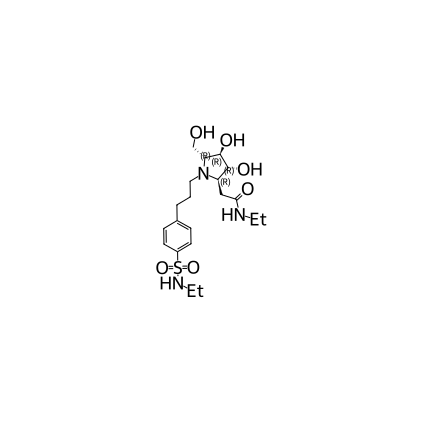 CCNC(=O)C[C@@H]1[C@@H](O)[C@H](O)[C@@H](CO)N1CCCc1ccc(S(=O)(=O)NCC)cc1